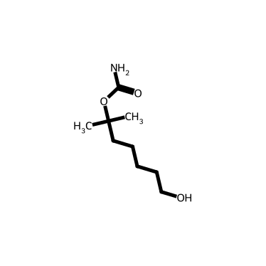 CC(C)(CCCCCO)OC(N)=O